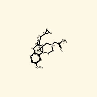 COc1ccc2c(c1)[C@@]13CCN(CC(N)=O)C[C@H]1[C@@H](C2)N(CC1CC1)CC3